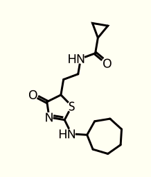 O=C(NCCC1SC(NC2CCCCCC2)=NC1=O)C1CC1